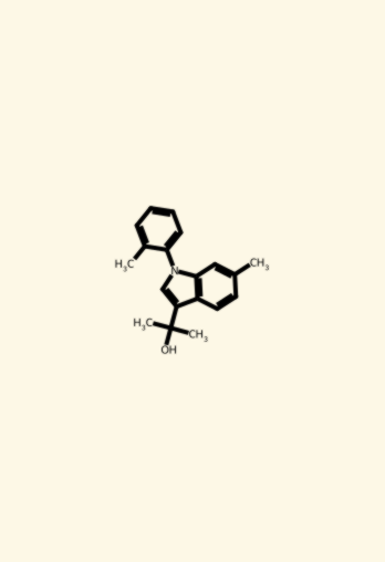 Cc1ccc2c(C(C)(C)O)cn(-c3ccccc3C)c2c1